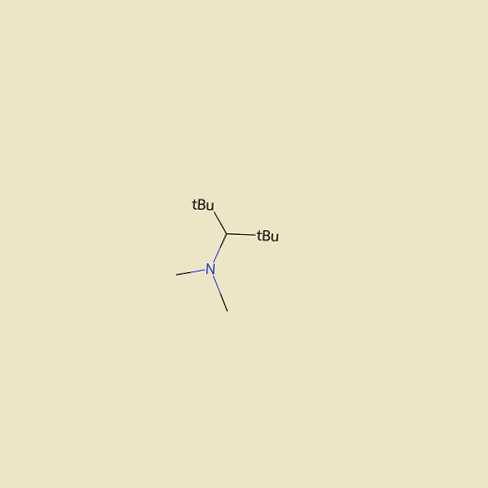 [CH2]C(C)(C)C(N(C)C)C(C)(C)C